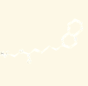 CCOC(=O)/C=C/CCc1ccc2ccccc2c1